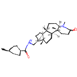 CC1CCC(C(=O)NC[C@H]2CC[C@H]3[C@@H]4CC[C@H]5N(C)C(=O)CC[C@]5(C)[C@H]4CC[C@]23C)CC1